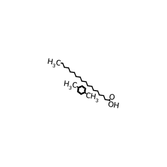 CCCCCCCCCCCCCCCCCC(=O)O.Cc1ccc(C)cc1